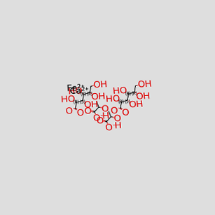 CC(O)C(=O)[O-].CC(O)C(=O)[O-].O=C([O-])[C@H](O)[C@@H](O)[C@H](O)[C@H](O)CO.O=C([O-])[C@H](O)[C@@H](O)[C@H](O)[C@H](O)CO.[Ca+2].[Fe+2]